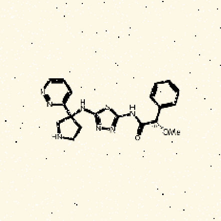 CO[C@H](C(=O)Nc1nnc(NC2(c3cccnn3)CCNC2)s1)c1ccccc1